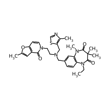 CCN1C(=O)C(C)(C)C(=O)N(C)c2cc(CN(CCn3ccc4oc(C)cc4c3=O)Cc3scnc3C)ccc21